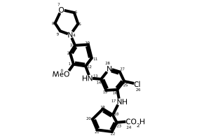 COc1cc(N2CCOCC2)ccc1Nc1cc(Nc2ccccc2C(=O)O)c(Cl)cn1